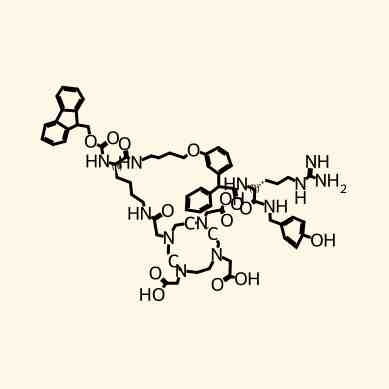 N=C(N)NCCC[C@@H](NC(=O)C(c1ccccc1)c1cccc(OCCCCNC(=O)[C@@H](CCCCNC(=O)CN2CCN(CC(=O)O)CCN(CC(=O)O)CCN(CC(=O)O)CC2)NC(=O)OCC2c3ccccc3-c3ccccc32)c1)C(=O)NCc1ccc(O)cc1